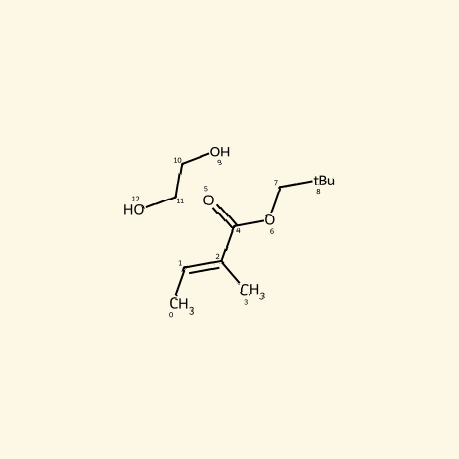 C/C=C(\C)C(=O)OCC(C)(C)C.OCCO